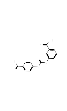 CC(=O)c1cccc(NC(=S)Nc2ccc(C(N)=O)cc2)c1